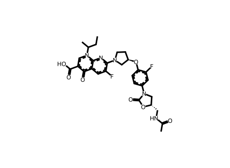 CCC(C)n1cc(C(=O)O)c(=O)c2cc(F)c(N3CC[C@@H](Oc4ccc(N5C[C@H](CNC(C)=O)OC5=O)cc4F)C3)nc21